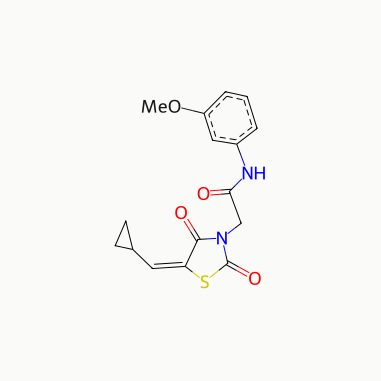 COc1cccc(NC(=O)CN2C(=O)SC(=CC3CC3)C2=O)c1